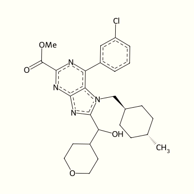 COC(=O)c1nc(-c2cccc(Cl)c2)c2c(n1)nc(C(O)C1CCOCC1)n2C[C@H]1CC[C@H](C)CC1